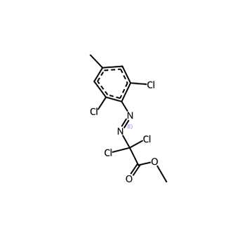 COC(=O)C(Cl)(Cl)/N=N/c1c(Cl)cc(C)cc1Cl